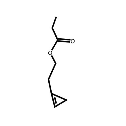 CCC(=O)OCCC1=CC1